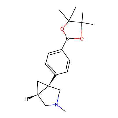 CN1C[C@@H]2C[C@]2(c2ccc(B3OC(C)(C)C(C)(C)O3)cc2)C1